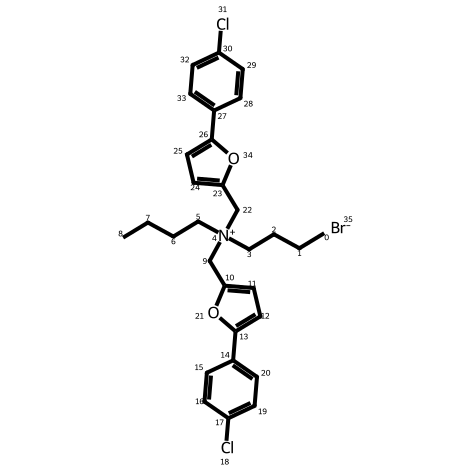 CCCC[N+](CCCC)(Cc1ccc(-c2ccc(Cl)cc2)o1)Cc1ccc(-c2ccc(Cl)cc2)o1.[Br-]